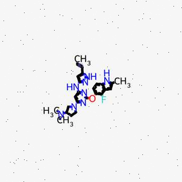 C/C=C/c1cc(Nc2cc(N3CCC(N(C)C)C3)nc(Oc3ccc4[nH]c(C)cc4c3F)n2)n[nH]1